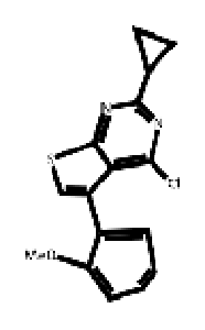 COc1ccccc1-c1csc2nc(C3CC3)nc(Cl)c12